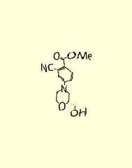 COC(=O)c1ccc(N2CCO[C@@H](CO)C2)cc1C#N